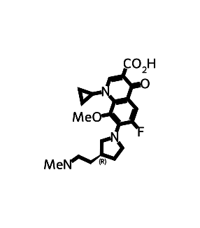 CNCC[C@@H]1CCN(c2c(F)cc3c(=O)c(C(=O)O)cn(C4CC4)c3c2OC)C1